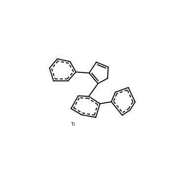 C1=CC(c2ccccc2)=C(c2ccccc2-c2ccccc2)C1.[Ti]